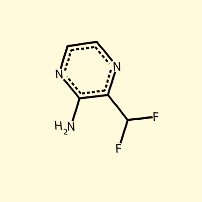 Nc1nccnc1C(F)F